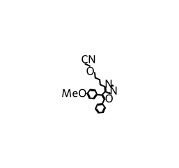 COc1ccc(-c2c(-c3ccccc3)oc3ncnc(CCCCOCCC#N)c23)cc1